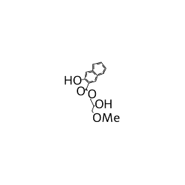 COCC(O)COC(=O)c1cc2ccccc2cc1O